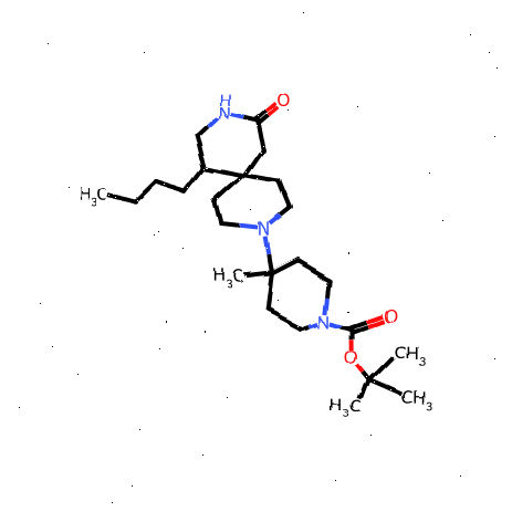 CCCCC1CNC(=O)CC12CCN(C1(C)CCN(C(=O)OC(C)(C)C)CC1)CC2